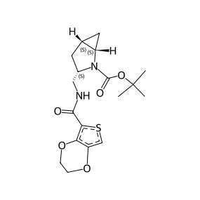 CC(C)(C)OC(=O)N1[C@H](CNC(=O)c2scc3c2OCCO3)C[C@@H]2C[C@@H]21